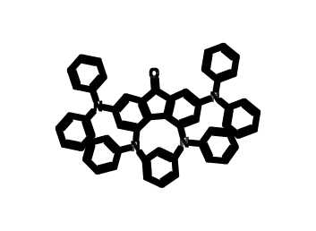 O=C1c2cc(N(c3ccccc3)c3ccccc3)cc3c2-c2c1cc(N(c1ccccc1)c1ccccc1)cc2N(c1ccccc1)c1cccc(c1)N3c1ccccc1